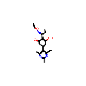 CCON=C(CC)C1=C(O)CC(c2c(C)nc(C)nc2C)CC1=O